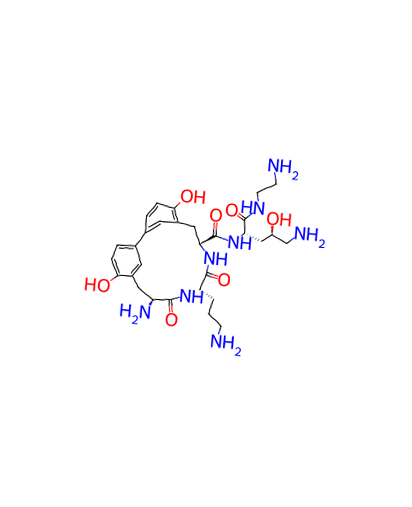 NCCC[C@@H]1NC(=O)[C@@H](N)Cc2cc(ccc2O)-c2ccc(O)c(c2)C[C@@H](C(=O)N[C@@H](C[C@@H](O)CN)C(=O)NCCN)NC1=O